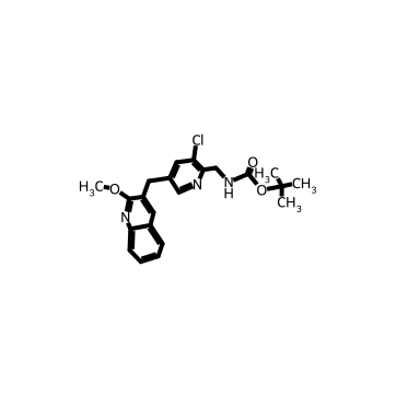 COc1nc2ccccc2cc1Cc1cnc(CNC(=O)OC(C)(C)C)c(Cl)c1